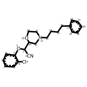 N#CC(Oc1ccccc1Cl)C1CN(CCCCc2ccccc2)CCO1